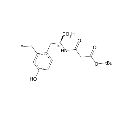 CC(C)(C)OC(=O)CC(=O)N[C@@H](Cc1ccc(O)cc1CF)C(=O)O